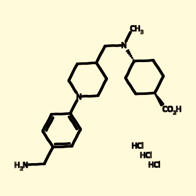 CN(CC1CCN(c2ccc(CN)cc2)CC1)[C@H]1CC[C@H](C(=O)O)CC1.Cl.Cl.Cl